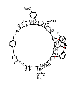 COc1ccc(C[C@@H]2NC(=O)[C@H](C(C)OC(C)(C)C)NC(=O)C3CCC(=O)NCc4cccc(c4)C[C@H](NC(=O)[C@@H](CNC(=O)OC(C)(C)C)NC(=O)C(C)NC(=O)CCC(=O)NCc4ccc(cc4)CCNC(=O)C4CCCN4C2=O)C(=O)N[C@@H](Cc2c[nH]c4ccc(F)cc24)C(=O)N3C)cc1